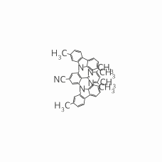 Cc1ccc2c3ccc(C)cc3n(-c3cc(C#N)cc(-n4c5cc(C)ccc5c5ccc(C)cc54)c3-c3nc(C)cc(C)n3)c2c1